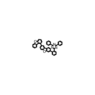 c1ccc(-c2nc(-c3ccccc3)nc(-c3ccccc3-c3ccc4c(c3)oc3ccc(-c5cccc6oc7ccccc7c56)cc34)n2)cc1